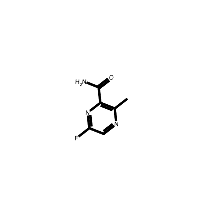 Cc1ncc(F)nc1C(N)=O